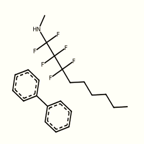 CCCCCCC(F)(F)C(F)(F)C(F)(F)NC.c1ccc(-c2ccccc2)cc1